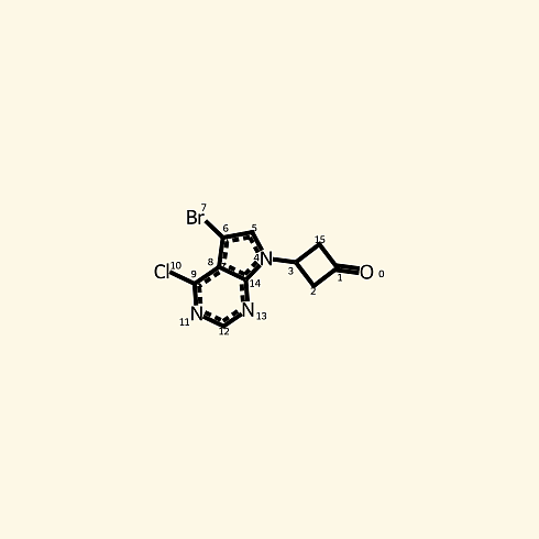 O=C1CC(n2cc(Br)c3c(Cl)ncnc32)C1